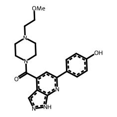 COCCN1CCN(C(=O)c2cc(-c3ccc(O)cc3)nc3[nH]ncc23)CC1